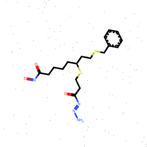 NN=NC(=O)CCSC(CCCCC(=O)N=O)CCSCc1ccccc1